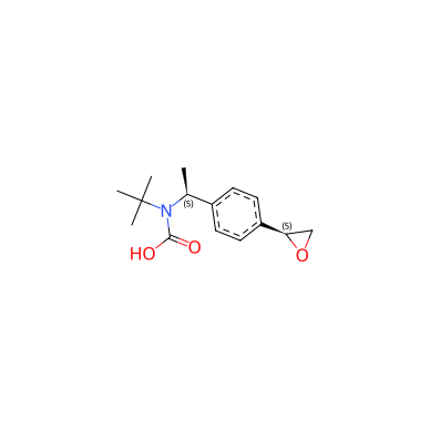 C[C@@H](c1ccc([C@H]2CO2)cc1)N(C(=O)O)C(C)(C)C